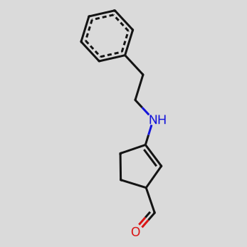 O=CC1C=C(NCCc2ccccc2)CC1